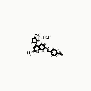 CO[C@H]1CCN(c2cc(C)nc3cc(OCc4ccc(C#N)cc4)ccc23)C1.Cl